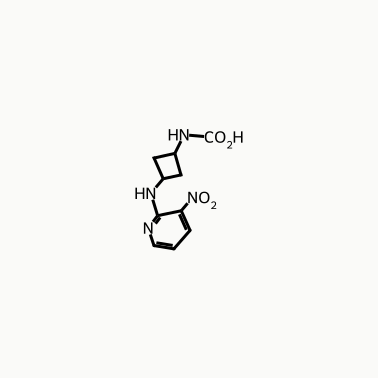 O=C(O)NC1CC(Nc2ncccc2[N+](=O)[O-])C1